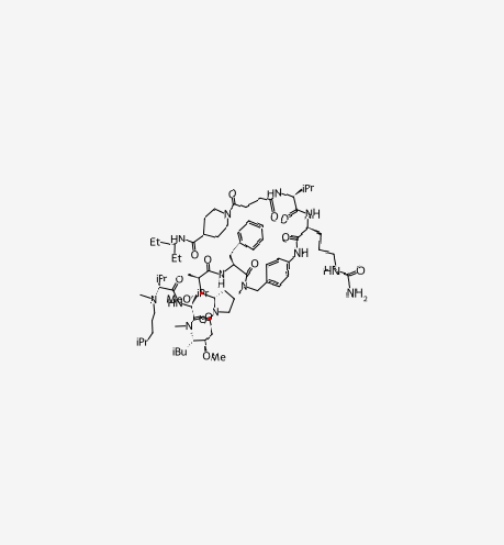 CCC(CC)NC(=O)C1CCN(C(=O)CCC(=O)N[C@H](C(=O)N[C@@H](CCCNC(N)=O)C(=O)Nc2ccc(CN(C)C(=O)[C@H](Cc3ccccc3)NC(=O)[C@H](C)[C@@H](OC)[C@@H]3CCCN3C(=O)C[C@@H](OC)[C@H]([C@@H](C)CC)N(C)C(=O)[C@@H](NC(=O)[C@H](C(C)C)N(C)CCCC(C)C)C(C)C)cc2)C(C)C)CC1